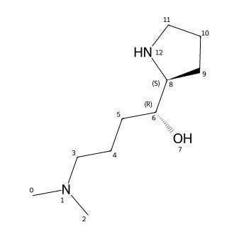 CN(C)CCC[C@@H](O)[C@@H]1CCCN1